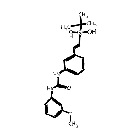 COc1cccc(NC(=O)Nc2cccc(C=C[Si](O)(O)C(C)(C)C)c2)c1